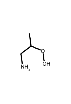 CC(CN)OO